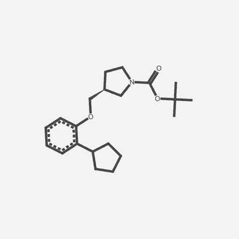 CC(C)(C)OC(=O)N1CC[C@H](COc2ccccc2C2CCCC2)C1